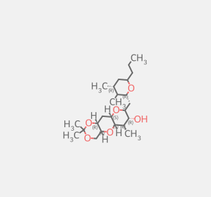 CCCC1C[C@@H](C)C(C)[C@@H](CC2O[C@H]3C[C@H]4OC(C)(C)OC[C@H]4O[C@H]3[C@H](C)[C@H]2O)O1